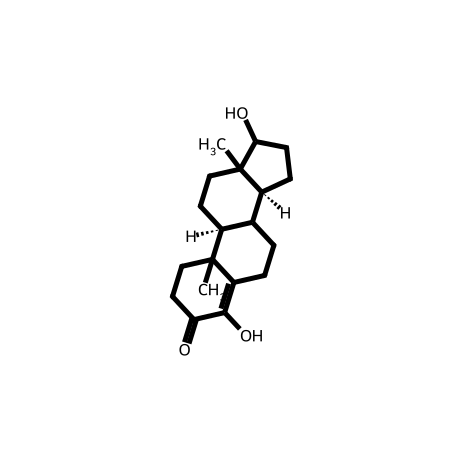 CC12CCC(=O)C(O)=C1CCC1[C@@H]2CCC2(C)C(O)CC[C@@H]12